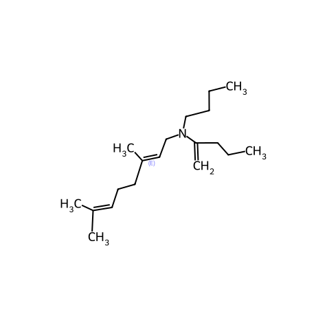 C=C(CCC)N(C/C=C(\C)CCC=C(C)C)CCCC